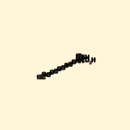 CC(C)(C)N[C@@H](CCC(=O)NCCOCCOCCOCCOCCOCCOCCOCCOCCC(=O)C(C)(C)C)C(=O)O